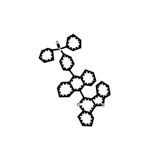 O=P(c1ccccc1)(c1ccccc1)c1ccc(-c2c3ccccc3c(-c3oc4ccccc4c4nc5ccccc5c3-4)c3ccccc23)cc1